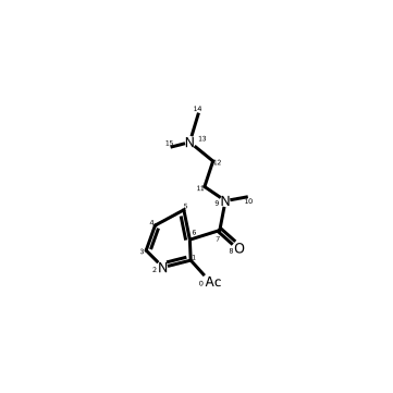 CC(=O)c1ncccc1C(=O)N(C)CCN(C)C